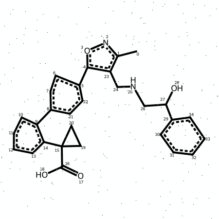 Cc1noc(-c2ccc(-c3ccccc3C3(C(=O)O)CC3)cc2)c1CNCC(O)c1ccccc1